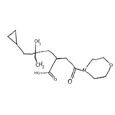 CC(C)(CC1CC1)CC(CC(=O)N1CCOCC1)C(=O)O